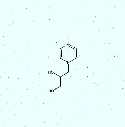 CC1=CCN(CC(O)CO)C=C1